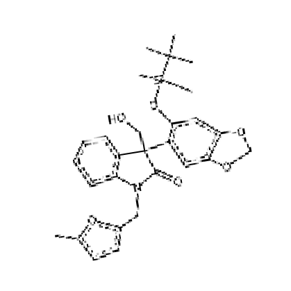 Cc1ccc(CN2C(=O)C(CO)(c3cc4c(cc3O[Si](C)(C)C(C)(C)C)OCO4)c3ccccc32)o1